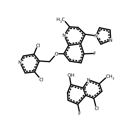 Cc1cc(-n2ccnc2)c2c(F)ccc(OCc3c(Cl)cncc3Cl)c2n1.Cc1cc(Cl)c2c(F)ccc(O)c2n1